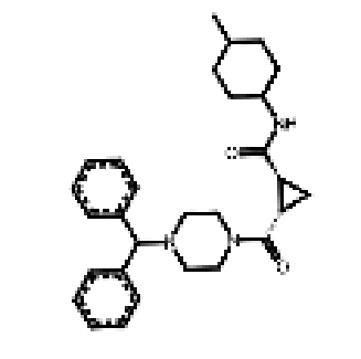 CC1CCC(NC(=O)[C@H]2C[C@@H]2C(=O)N2CCN(C(c3ccccc3)c3ccccc3)CC2)CC1